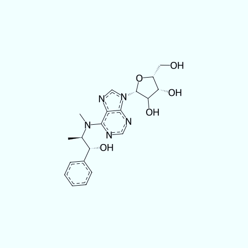 C[C@H]([C@H](O)c1ccccc1)N(C)c1ncnc2c1ncn2[C@@H]1O[C@H](CO)[C@H](O)C1O